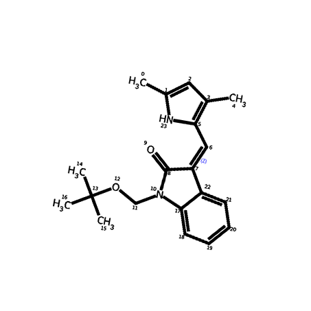 Cc1cc(C)c(/C=C2\C(=O)N(COC(C)(C)C)c3ccccc32)[nH]1